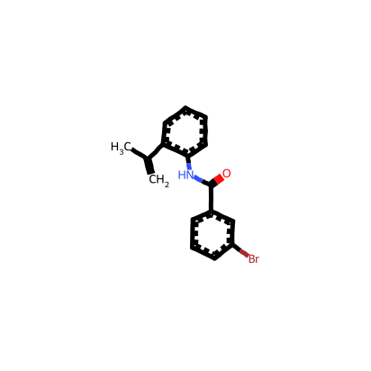 C=C(C)c1ccccc1NC(=O)c1cccc(Br)c1